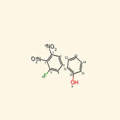 O=[N+]([O-])c1cccc(F)c1[N+](=O)[O-].Oc1ccccc1